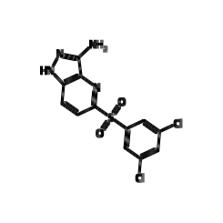 Nc1n[nH]c2ccc(S(=O)(=O)c3cc(Cl)cc(Cl)c3)nc12